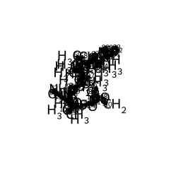 C=CC(=O)N1CN(C(=O)C=C)CN(C(=O)CCSCC(=O)N[C@H](C(=O)N[C@@H](CCCNC(N)=O)C(=O)Nc2ccc(COC(=O)N(C)[C@H](C(=O)NC(C(=O)N(C)[C@@H](C(C)CC)[C@@H](CC(=O)N3CCC[C@H]3[C@H](OC)[C@@H](C)C(=O)N[C@@H](Cc3ccccc3)c3nccs3)OC)C(C)C)C(C)C)cc2)C(C)C)C1